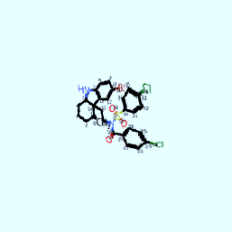 C=C1CCCC2Nc3ccc(Br)cc3C12CCN(C(=O)c1ccc(Cl)cc1)S(=O)(=O)c1ccc(Cl)cc1